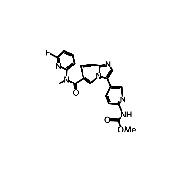 COC(=O)Nc1ccc(-c2cnc3ccc(C(=O)N(C)c4cccc(F)n4)cn23)cn1